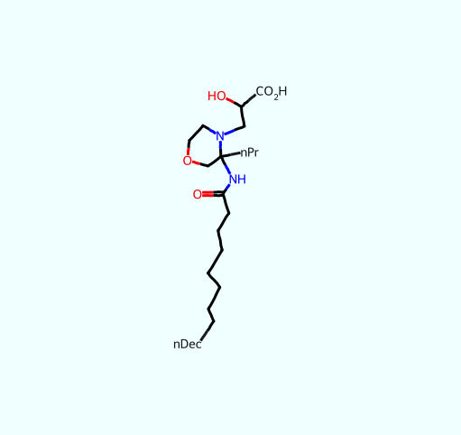 CCCCCCCCCCCCCCCCCC(=O)NC1(CCC)COCCN1CC(O)C(=O)O